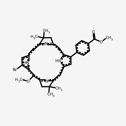 COC(=O)c1ccc(-c2cc3cc4nc(c(OC)c5[nH]c(cc6nc(cc2[nH]3)CC6(C)C)cc5Br)CC4(C)C)cc1